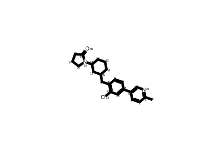 Cc1ccc(-c2ccc(CC3CCCC(N4CCCC4=O)C3)c(Cl)c2)cn1